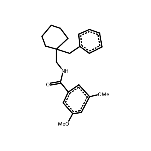 COc1cc(OC)cc(C(=O)NCC2(Cc3ccccc3)CCCCC2)c1